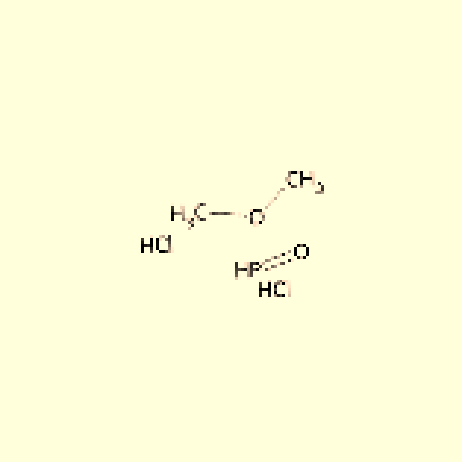 COC.Cl.Cl.O=P